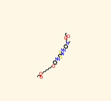 C=CC(=O)OCCN(CC)c1ccc(N=Nc2nc3sc(N=Nc4ccc(OCCCCCCCCOC(=O)CC)cc4)cc3s2)cc1